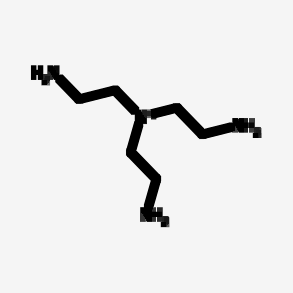 NCC[N+](CCN)CCN